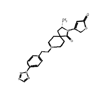 C[C@H]1CC2(CCN(CCc3ccc(-n4ncnn4)cc3)CC2)C(=O)N1C1=CC(=O)OC1